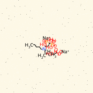 C=CC.CCCCCN(C)CCC(O)(P(=O)([O-])O)P(=O)(O)O.O.O=C([O-])CO.[Na+].[Na+]